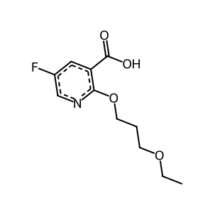 CCOCCCOc1ncc(F)cc1C(=O)O